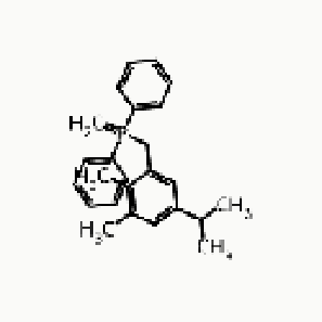 C=P(Cc1cc(C(C)C)cc(C)c1C)(c1ccccc1)c1ccccc1